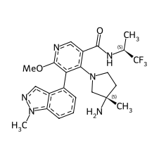 COc1ncc(C(=O)N[C@@H](C)C(F)(F)F)c(N2CC[C@](C)(N)C2)c1-c1cccc2c1cnn2C